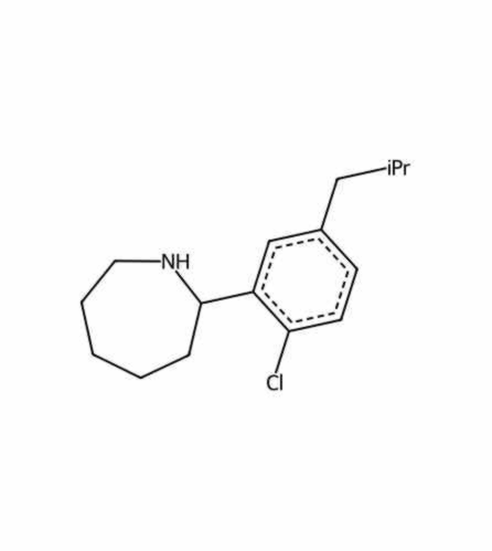 CC(C)Cc1ccc(Cl)c(C2CCCCCN2)c1